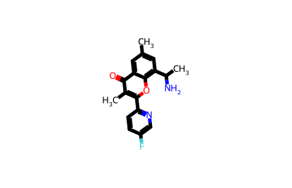 Cc1cc(C(C)N)c2oc(-c3ccc(F)cn3)c(C)c(=O)c2c1